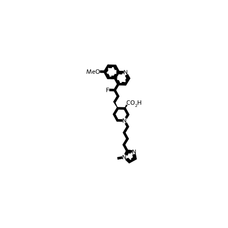 COc1ccc2nccc(C(F)CC[C@@H]3CCN(CCCCc4nccn4C)C[C@@H]3C(=O)O)c2c1